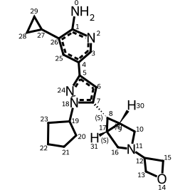 Nc1ncc(-c2cc([C@@H]3[C@@H]4CN(C5COC5)C[C@@H]43)n(C3CCCC3)n2)cc1C1CC1